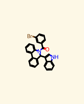 O=C(c1cccc(Br)c1)N1c2ccccc2-c2ccccc2C1c1c[nH]c2ccccc12